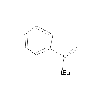 C=C(c1cc[c]cc1)C(C)(C)C